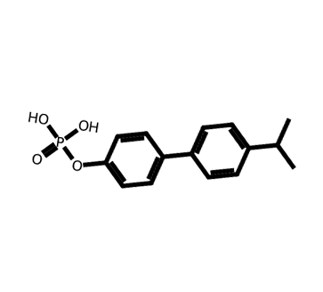 CC(C)c1ccc(-c2ccc(OP(=O)(O)O)cc2)cc1